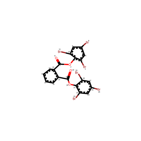 O=C(Oc1c(Br)cc(Br)cc1Br)c1ccccc1C(=O)Oc1c(Br)cc(Br)cc1Br